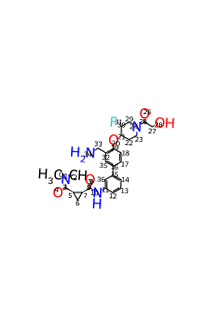 CN(C)C(=O)[C@@H]1C[C@@H]1C(=O)Nc1cccc(-c2ccc(O[C@H]3CCN(C(=O)CO)C[C@H]3F)c(CN)c2)c1